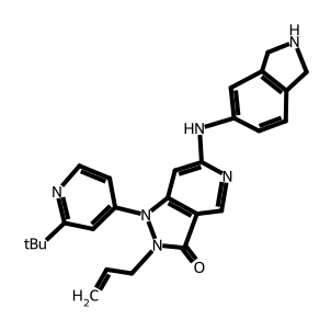 C=CCn1c(=O)c2cnc(Nc3ccc4c(c3)CNC4)cc2n1-c1ccnc(C(C)(C)C)c1